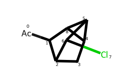 CC(=O)C1C2CC3C(C2Cl)C31